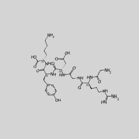 N=C(N)NCCC[C@H](NC(=O)CN)C(=O)NCC(=O)N[C@@H](CC(=O)O)C(=O)N[C@@H](Cc1ccc(O)cc1)C(=O)N[C@@H](CCCCN)C(=O)O